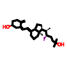 C=C1CC[C@H](O)C/C1=C/C=C1CCC[C@@]2(C)C1CC[C@@H]2[C@H](C)[C@@H](I)CCC(C)(C)O